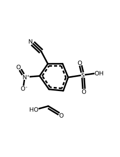 N#Cc1cc(S(=O)(=O)O)ccc1[N+](=O)[O-].O=CO